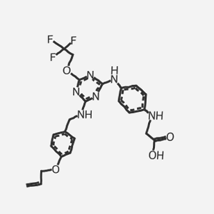 C=CCOc1ccc(CNc2nc(Nc3ccc(NCC(=O)O)cc3)nc(OCC(F)(F)F)n2)cc1